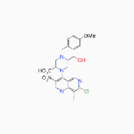 COc1ccc(CN2CC(C(=O)O)N(c3c([N+](=O)[O-])cnc4c(F)c(Cl)ncc34)CC2CO)cc1